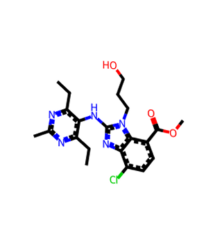 CCc1nc(C)nc(CC)c1Nc1nc2c(Cl)ccc(C(=O)OC)c2n1CCCO